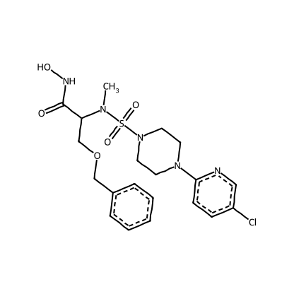 CN(C(COCc1ccccc1)C(=O)NO)S(=O)(=O)N1CCN(c2ccc(Cl)cn2)CC1